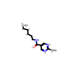 CSc1ncc(C(=O)NCCCCCC=O)cn1